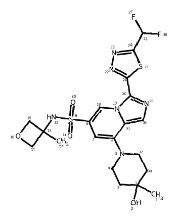 CC1(O)CCN(c2cc(S(=O)(=O)NC3(C)COC3)cn3c(-c4nnc(C(F)F)s4)ncc23)CC1